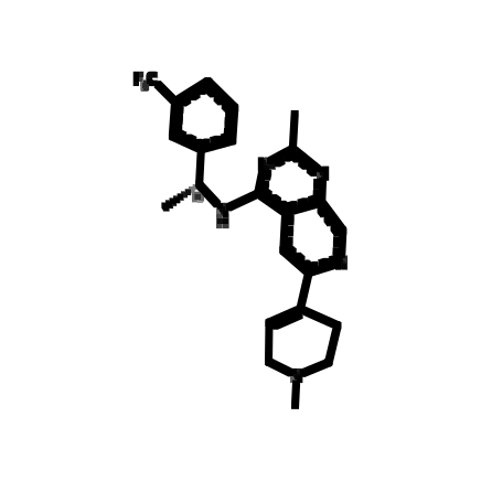 Cc1nc(N[C@H](C)c2cccc(C(F)(F)F)c2)c2cc(C3=CCN(C)CC3)ncc2n1